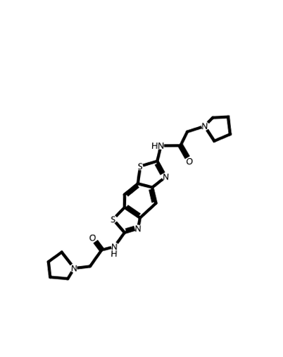 O=C(CN1CCCC1)Nc1nc2cc3nc(NC(=O)CN4CCCC4)sc3cc2s1